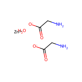 NCC(=O)[O-].NCC(=O)[O-].O.[Zn+2]